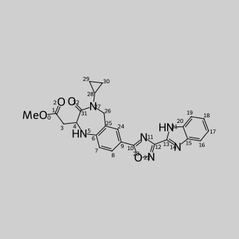 COC(=O)CC1Nc2ccc(-c3nc(-c4nc5ccccc5[nH]4)no3)cc2CN(C2CC2)C1=O